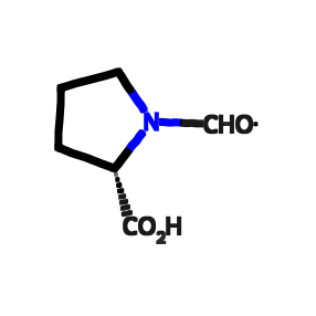 O=[C]N1CCC[C@H]1C(=O)O